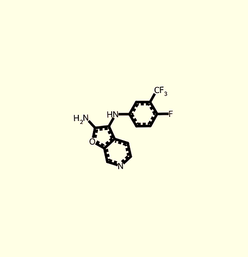 Nc1oc2cnccc2c1Nc1ccc(F)c(C(F)(F)F)c1